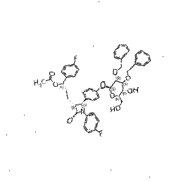 CC(=O)O[C@@H](CC[C@H]1C(=O)N(c2ccc(F)cc2)[C@@H]1c1ccc(O[C@@H]2O[C@H](CO)[C@@H](O)[C@H](OCc3ccccc3)[C@H]2OCc2ccccc2)cc1)c1ccc(F)cc1